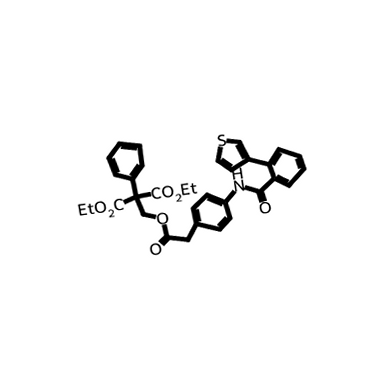 CCOC(=O)C(COC(=O)Cc1ccc(NC(=O)c2ccccc2-c2ccsc2)cc1)(C(=O)OCC)c1ccccc1